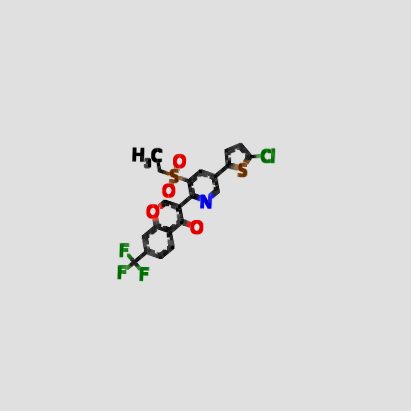 CCS(=O)(=O)c1cc(-c2ccc(Cl)s2)cnc1-c1coc2cc(C(F)(F)F)ccc2c1=O